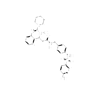 CCN1C(N2CCCCC2)=Nc2ccccc2C1CC(=O)NCc1ccc(NS(=O)(=O)c2ccc(C)cc2)cc1